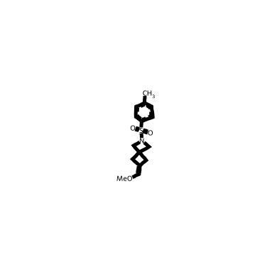 COC=C1CC2(C1)CN(S(=O)(=O)c1ccc(C)cc1)C2